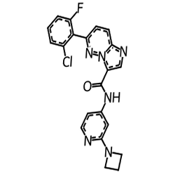 O=C(Nc1ccnc(N2CCC2)c1)c1cnc2ccc(-c3c(F)cccc3Cl)nn12